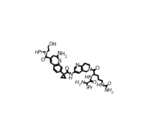 CCCN(CCO)C(=O)C1=Cc2ccc(C3(C(=O)Nc4cnc5c(c4)CN(C(=O)C(CCCNC(N)=O)NC(=O)C(N)C(C)C)CC5)CC3)cc2N=C(N)C1